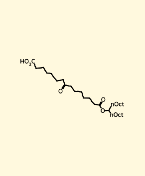 CCCCCCCCC(CCCCCCCC)OC(=O)CCCCCCC(=O)CCCCCCC(=O)O